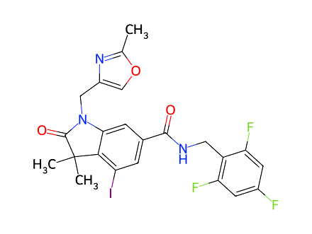 Cc1nc(CN2C(=O)C(C)(C)c3c(I)cc(C(=O)NCc4c(F)cc(F)cc4F)cc32)co1